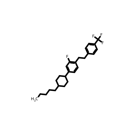 CCCCCC1CCC(c2ccc(CCc3ccc(C(F)(F)F)cc3)c(F)c2)CC1